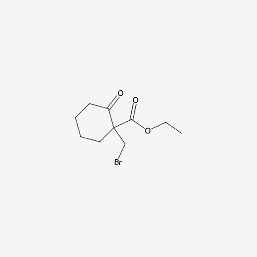 CCOC(=O)C1(CBr)CCCCC1=O